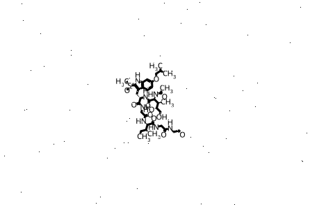 CC[C@H](C)[C@H](NC(=O)CNC(=O)[C@H](Cc1c([S+](C)[O-])[nH]c2cc(OCC(C)C)ccc12)NC(=O)[C@@H](NC(C)=O)[C@@H](C)[C@@H](O)CO)C(=O)NCC(=O)NCC=O